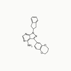 Nc1ncnc2c1c(-c1ccc3c(c1)OCCCO3)nn2C1Cc2ccccc2C1